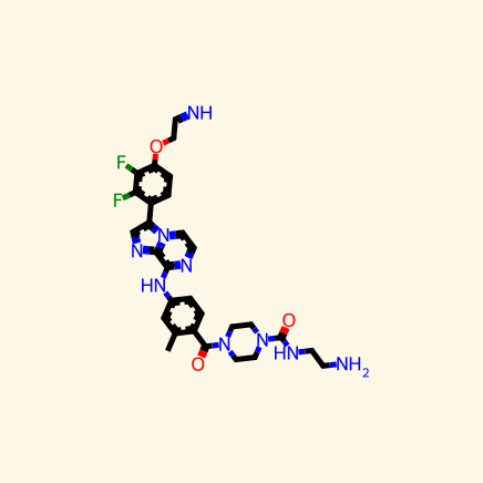 Cc1cc(Nc2nccn3c(-c4ccc(OCC=N)c(F)c4F)cnc23)ccc1C(=O)N1CCN(C(=O)NCCN)CC1